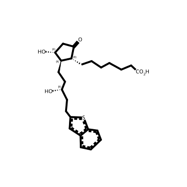 O=C(O)CCCCCC[C@H]1C(=O)C[C@@H](O)[C@@H]1CC[C@@H](O)CCc1cc2ccccc2s1